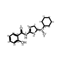 O=C(NC1=NCC([S+]([O-])C2CCCCC2)S1)c1ccccc1O